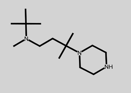 CN(CCC(C)(C)N1CCNCC1)C(C)(C)C